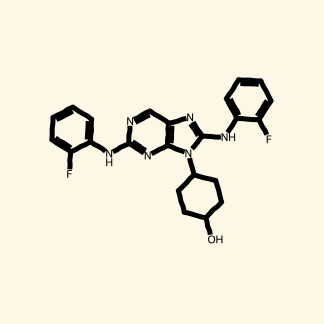 OC1CCC(n2c(Nc3ccccc3F)nc3cnc(Nc4ccccc4F)nc32)CC1